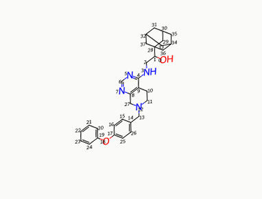 OC(CNc1ncnc2c1CCN(Cc1ccc(Oc3ccccc3)cc1)C2)C12CC3CC(CC(C3)C1)C2